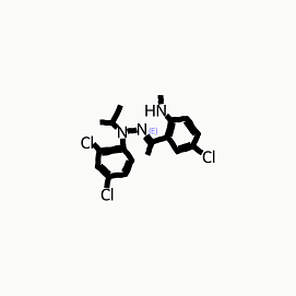 CNc1ccc(Cl)cc1/C(C)=N/N(c1ccc(Cl)cc1Cl)C(C)C